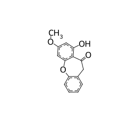 COc1cc(O)c2c(c1)Oc1ccccc1CC2=O